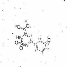 COC(=O)C1=CC(c2cccc(Cl)c2)=NS(=O)(=O)N1